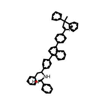 C=N/C(=C\C(C)(c1ccccc1)c1ccccc1)c1ccc(-c2ccc(-c3ccc(C(Cc4ccccc4)NC(=N)c4ccccc4)cc3)c3ccccc23)cc1